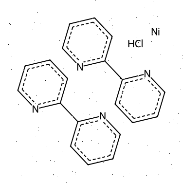 Cl.[Ni].c1ccc(-c2ccccn2)nc1.c1ccc(-c2ccccn2)nc1